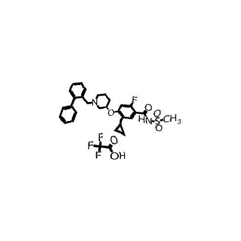 CS(=O)(=O)NC(=O)c1cc(C2CC2)c(O[C@@H]2CCCN(Cc3ccccc3-c3ccccc3)C2)cc1F.O=C(O)C(F)(F)F